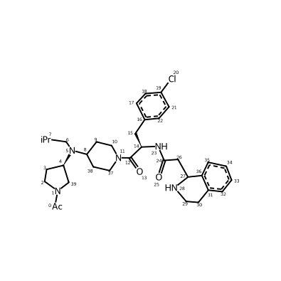 CC(=O)N1CC[C@@H](N(CC(C)C)C2CCN(C(=O)[C@@H](Cc3ccc(Cl)cc3)NC(=O)CC3NCCc4ccccc43)CC2)C1